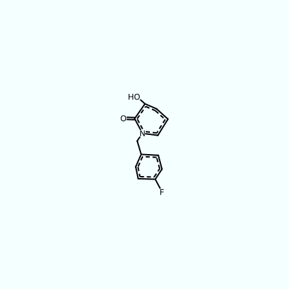 O=c1c(O)cccn1Cc1ccc(F)cc1